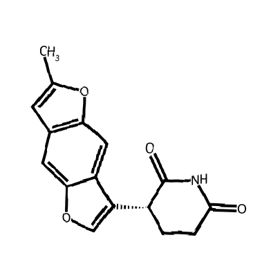 Cc1cc2cc3occ([C@H]4CCC(=O)NC4=O)c3cc2o1